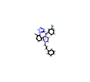 Cc1cccc(C)c1-n1nnnc1[C@H](c1cccc(Br)c1)N1CCN(C/C=C/c2ccccc2)CC1